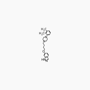 Cc1cccc(N2CCN(CCCCOc3ccc4cn[nH]c4c3)CC2)c1C